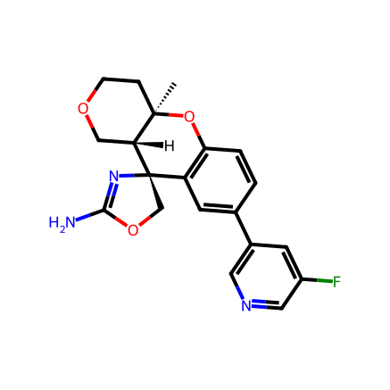 C[C@@]12CCOC[C@H]1[C@]1(COC(N)=N1)c1cc(-c3cncc(F)c3)ccc1O2